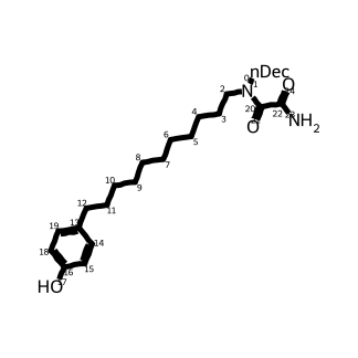 CCCCCCCCCCN(CCCCCCCCCCCc1ccc(O)cc1)C(=O)C(N)=O